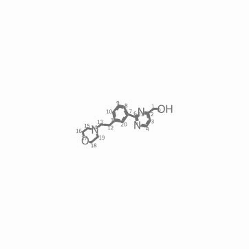 OCc1ccnc(-c2cccc(CCN3CCOCC3)c2)n1